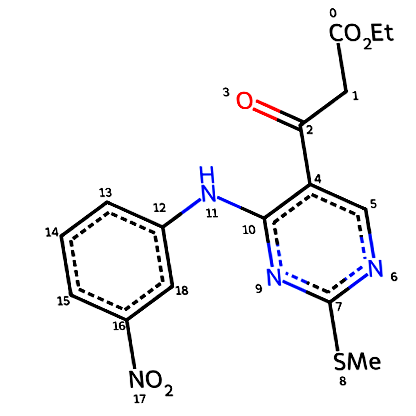 CCOC(=O)CC(=O)c1cnc(SC)nc1Nc1cccc([N+](=O)[O-])c1